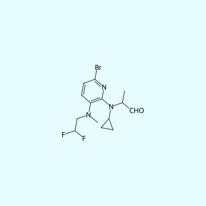 CC(C=O)N(c1nc(Br)ccc1N(C)CC(F)F)C1CC1